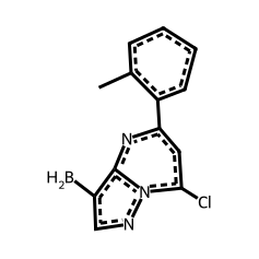 Bc1cnn2c(Cl)cc(-c3ccccc3C)nc12